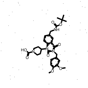 COc1ccc(Cn2c(=O)c3cc(CNC(=O)OC(C)(C)C)ccc3n(C3CCN(C(=O)O)CC3)c2=O)cc1OC